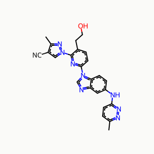 Cc1ccc(Nc2ccc3c(c2)ncn3-c2ccc(CCO)c(-n3cc(C#N)c(C)n3)n2)nn1